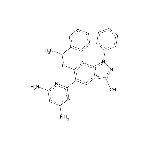 Cc1nn(-c2ccccc2)c2nc(OC(C)c3ccccc3)c(-c3nc(N)cc(N)n3)cc12